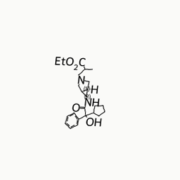 CCOC(=O)C(C)CN1CC2[C@@H](C1)[C@@H]2NC(=O)C(O)(c1ccccc1)C1CCCC1